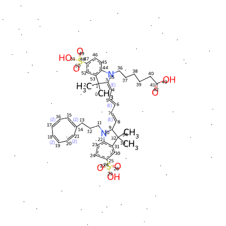 CC1(C)\C(=C/C=C/C=C/C2N(CCCC3=C/C=C\C=C/C=C\3)c3ccc(S(=O)(=O)O)cc3C2(C)C)N(CCCCCC(=O)O)c2ccc(S(=O)(=O)O)cc21